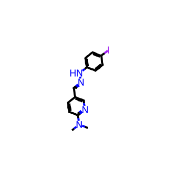 CN(C)c1ccc(C=NNc2ccc(I)cc2)cn1